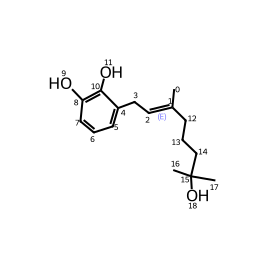 C/C(=C\Cc1cccc(O)c1O)CCCC(C)(C)O